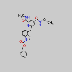 CNC(=O)c1cc(C(=O)N[C@H]2C[C@@H]2C)cc(Cc2cccc3c2CCN3C(=O)OCc2ccccc2)n1